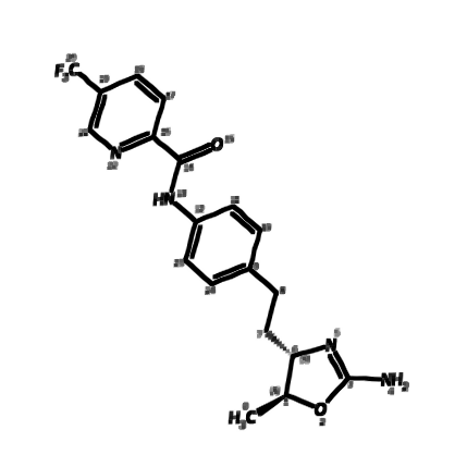 C[C@@H]1OC(N)=N[C@H]1CCc1ccc(NC(=O)c2ccc(C(F)(F)F)cn2)cc1